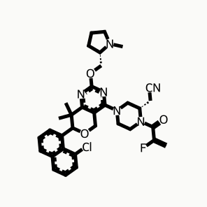 C=C(F)C(=O)N1CCN(c2nc(OC[C@@H]3CCCN3C)nc3c2COC(c2cccc4cccc(Cl)c24)C3(C)C)C[C@@H]1CC#N